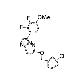 COc1ccc(-c2cnc3ccc(OCc4cccc(Cl)c4)nn23)c(F)c1F